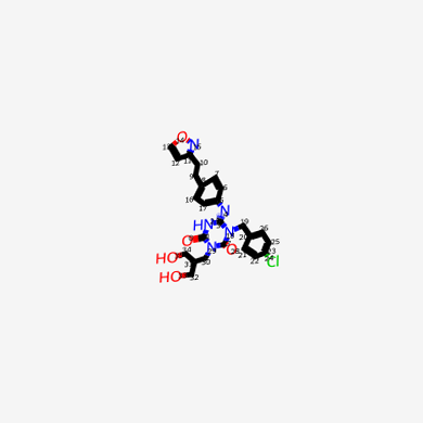 O=c1[nH]/c(=N\c2ccc(CCc3ccon3)cc2)n(Cc2ccc(Cl)cc2)c(=O)n1CC(CO)CO